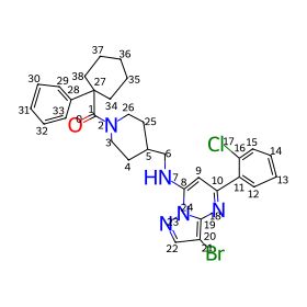 O=C(N1CCC(CNc2cc(-c3ccccc3Cl)nc3c(Br)cnn23)CC1)C1(c2ccccc2)CCCCC1